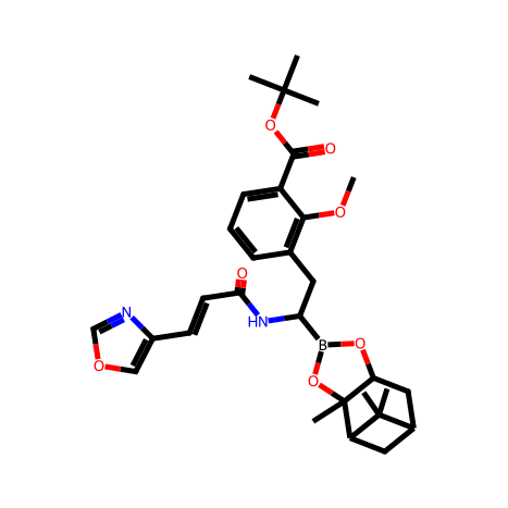 COc1c(CC(NC(=O)/C=C/c2cocn2)B2OC3CC4CC(C4(C)C)C3(C)O2)cccc1C(=O)OC(C)(C)C